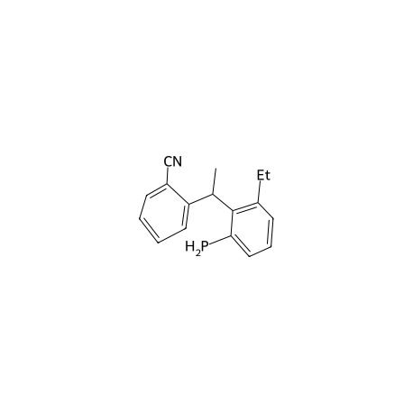 CCc1cccc(P)c1C(C)c1ccccc1C#N